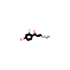 O=C(O)/C=C/C(=O)c1ccc(Br)cc1Cl